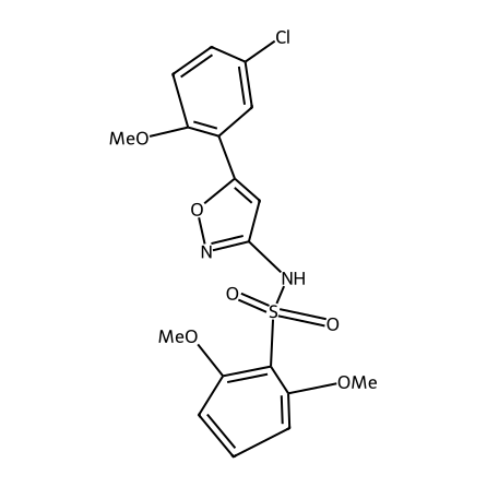 COc1ccc(Cl)cc1-c1cc(NS(=O)(=O)c2c(OC)cccc2OC)no1